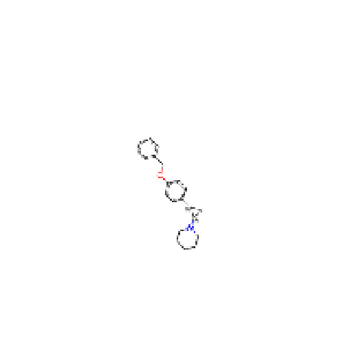 c1ccc(COc2ccc([C@@H]3C[C@H]3N3CCCCC3)cc2)cc1